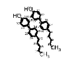 CCCCCc1ccc(-c2ccc(O)cc2)cc1.CCCCCc1ccc(-c2ccc(O)cc2)cc1